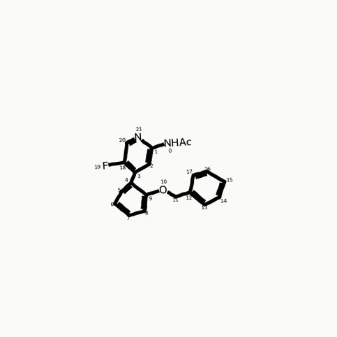 CC(=O)Nc1cc(-c2ccccc2OCc2ccccc2)c(F)cn1